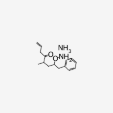 C=CCC(=O)C(C)CC(Cc1ccccc1)ON.N